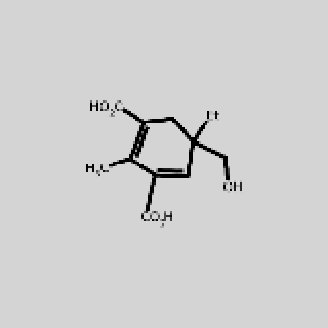 CCC1(CO)C=C(C(=O)O)C(C)=C(C(=O)O)C1